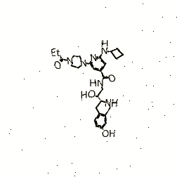 CCC(=O)N1CCN(c2cc(C(=O)NCC(O)[C@@H]3Cc4ccc(O)cc4CN3)cc(NC3CCC3)n2)CC1